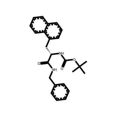 CC(C)(C)OC(=O)N[C@@H](Cc1cccc2ccccc12)C(=O)NCc1ccccc1